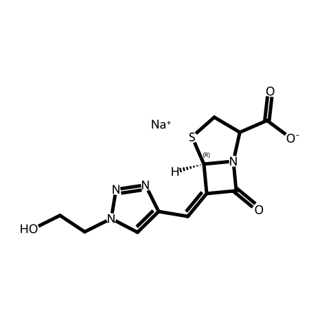 O=C([O-])C1CS[C@@H]2C(=Cc3cn(CCO)nn3)C(=O)N12.[Na+]